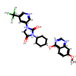 COc1ccc2c(O[C@H]3CC[C@H](N4C(=O)CN(c5cncc(C(F)(F)F)c5)C4=O)CC3)ncnc2c1